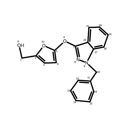 OCc1ccc(Oc2nn(Cc3ccccc3)c3ccccc23)o1